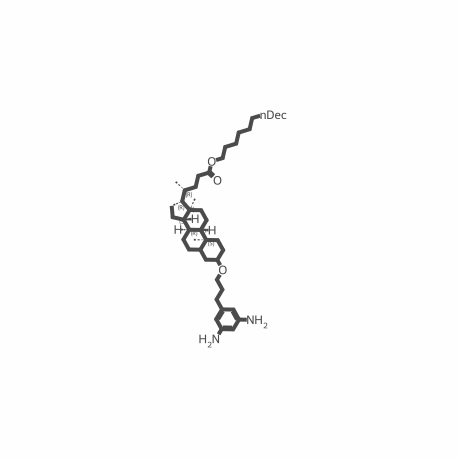 CCCCCCCCCCCCCCCCOC(=O)CC[C@@H](C)[C@H]1CC[C@H]2[C@@H]3CCC4CC(OCCCc5cc(N)cc(N)c5)CC[C@]4(C)[C@H]3CC[C@]12C